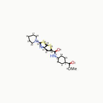 COC(=O)C1CCC(NC(=O)c2cc3nc(N4CCCCC4)sc3s2)CC1